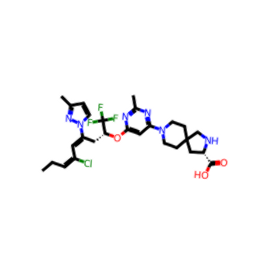 CC/C=C(Cl)\C=C(/C[C@@H](Oc1cc(N2CCC3(CC2)CN[C@H](C(=O)O)C3)nc(C)n1)C(F)(F)F)n1ccc(C)n1